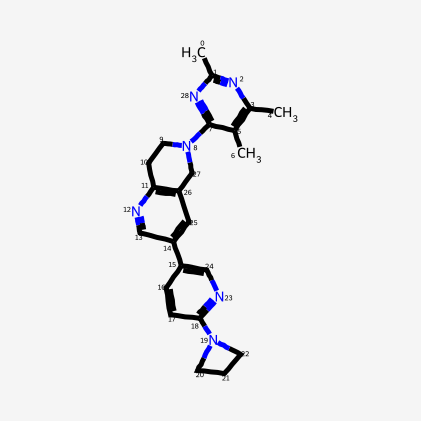 Cc1nc(C)c(C)c(N2CCc3ncc(-c4ccc(N5CCC5)nc4)cc3C2)n1